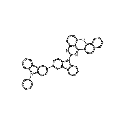 c1ccc(-n2c3ccccc3c3cc(-c4ccc5c(c4)c4ccccc4n5-c4nc5c6c(cccc6n4)Oc4c-5ccc5ccccc45)ccc32)cc1